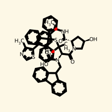 Cc1ncsc1-c1ccc([C@H](C)NC(=O)[C@@H]2C[C@@H](O)CN2C(=O)[C@@H](N(CC2c3ccccc3-c3ccccc32)C(=O)O)C(C)(C)SC(c2ccccc2)(c2ccccc2)c2ccccc2)cc1